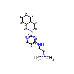 CN(C)CCNc1ccnc(N2CCC3CCCCC3C2)n1